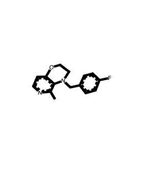 Cc1nccc2c1N(Cc1ccc(F)cc1)CCO2